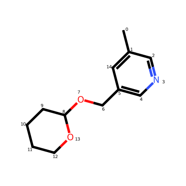 Cc1cncc(COC2CCCCO2)c1